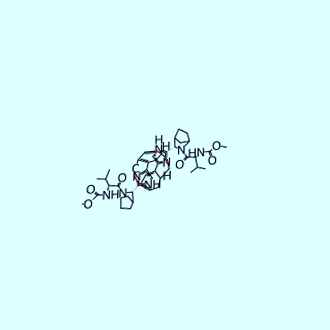 COC(=O)N[C@H](C(=O)N1C2CCC(C2)[C@H]1c1nc(C2=CC3=CC[C@@H]2CC[C@@H]2C=CC(=C(c4c[nH]c([C@@H]5C6CCC(C6)N5C(=O)[C@@H](NC(=O)OC)C(C)C)n4)C2)CC3)c[nH]1)C(C)C